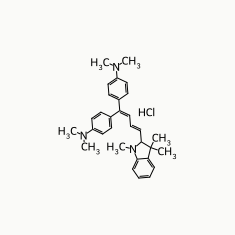 CN(C)c1ccc(C(=CC=CC2N(C)c3ccccc3C2(C)C)c2ccc(N(C)C)cc2)cc1.Cl